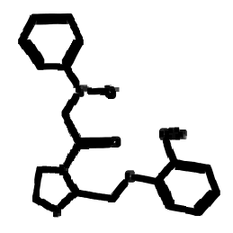 COc1ccccc1OCC1SCCN1C(=O)C[S+]([O-])c1ccccc1